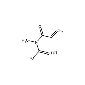 C=CC(=O)N(C)C(=O)O.Cl